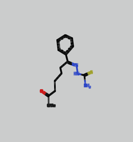 COC(=O)CCCCC(=NNC(N)=S)c1ccccc1